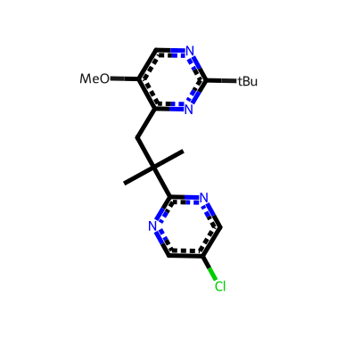 COc1cnc(C(C)(C)C)nc1CC(C)(C)c1ncc(Cl)cn1